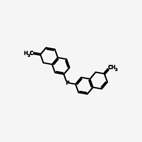 C=C1C=Cc2ccc([I+]c3ccc4c(c3)CC(=C)C=C4)cc2C1